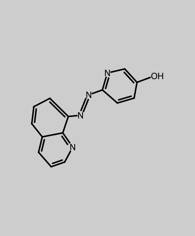 Oc1ccc(/N=N/c2cccc3cccnc23)nc1